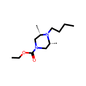 CCCCN1[C@H](C)CN(C(=O)OCC)C[C@@H]1C